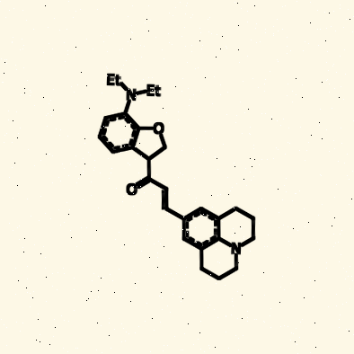 CCN(CC)c1cccc2c1OCC2C(=O)C=Cc1cc2c3c(c1)CCCN3CCC2